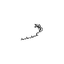 CCN(CC)C1CCCN(C(=O)/C=C(\C)CC/C=C(\C)CC/C=C(\C)CC/C=C(\C)CCC=C(C)C)C1